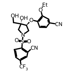 CCOc1cc(C#N)ccc1O[C@H]1CN(S(=O)(=O)c2ccc(C(F)(F)F)cc2C#N)C[C@@]1(O)CO